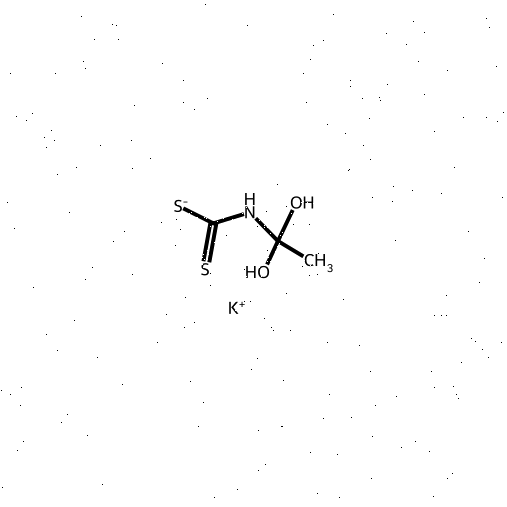 CC(O)(O)NC(=S)[S-].[K+]